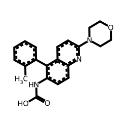 Cc1ccccc1-c1c(NC(=O)O)ccc2nc(N3CCOCC3)ccc12